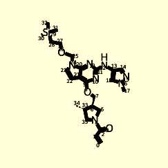 C=CC(=O)N1C[C@H](COc2nc(Nc3cnn(C)c3)nc3c2ccn3COCC[Si](C)(C)C)[C@@H](C)C1